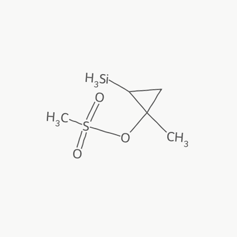 CC1(OS(C)(=O)=O)CC1[SiH3]